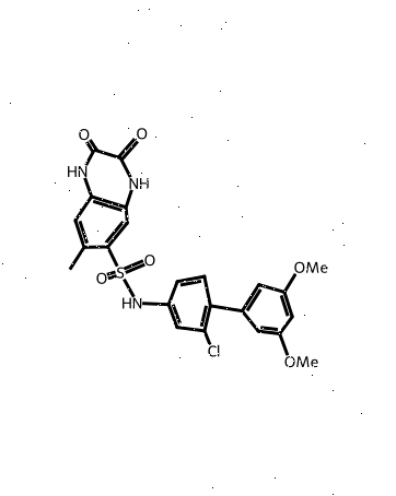 COc1cc(OC)cc(-c2ccc(NS(=O)(=O)c3cc4[nH]c(=O)c(=O)[nH]c4cc3C)cc2Cl)c1